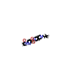 CC(C)(C)CCN1CCC2(CC1)CCN(S(=O)(=O)c1ccc(N3CCCC3=O)nc1)CC2